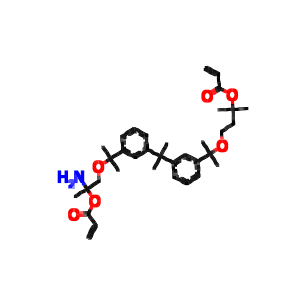 C=CC(=O)OC(C)(C)CCOC(C)(C)c1cccc(C(C)(C)c2cccc(C(C)(C)OCC(C)(N)OC(=O)C=C)c2)c1